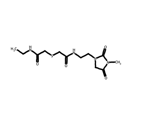 CCNC(=O)CSCC(=O)NCCN1CC(=O)N(C)C1=O